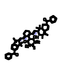 CCN1C(=O)C(C2=C(/C=C/C3CC(C)N(C)C4C=CC(C(=O)c5ccccc5)=CC4C3(C)C)CCC/C2=C\C=C2\N(C)c3ccc(C(=O)c4ccccc4)cc3C2(C)C)C(O)N(CC)C1=S